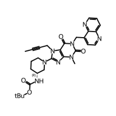 CC#CCn1c(N2CCC[C@@H](NC(=O)OC(C)(C)C)C2)nc2c1c(=O)n(Cc1ccnc3cccnc13)c(=O)n2C